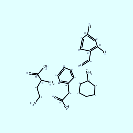 NC1CCCCC1.NCCC(N)C(=O)O.O=C(O)Cc1ccccc1.O=Cc1ccc(Cl)cc1Cl